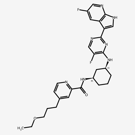 CCOCCCc1ccnc(C(=O)N[C@@H]2CCC[C@H](Nc3nc(-c4c[nH]c5ncc(F)cc45)ncc3F)C2)c1